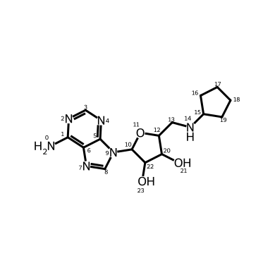 Nc1ncnc2c1ncn2C1OC(CNC2CCCC2)C(O)C1O